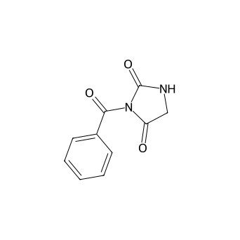 O=C1CNC(=O)N1C(=O)c1ccccc1